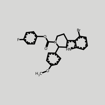 COc1ccc(C2c3[nH]c4cccc(Br)c4c3CCN2C(=O)Oc2ccc(F)cc2)cc1